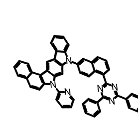 c1ccc(-c2nc(-c3ccccc3)nc(-c3cccc4cc(-n5c6ccccc6c6cc7c8c9ccccc9ccc8n(-c8ccccn8)c7cc65)ccc34)n2)cc1